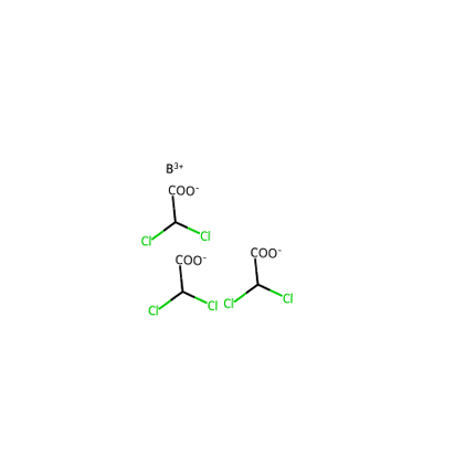 O=C([O-])C(Cl)Cl.O=C([O-])C(Cl)Cl.O=C([O-])C(Cl)Cl.[B+3]